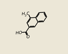 Cc1cc(C(=O)O)cc2ccccc12